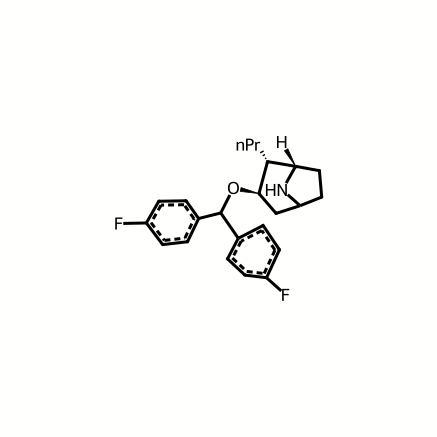 CCC[C@@H]1[C@@H]2CCC(C[C@H]1OC(c1ccc(F)cc1)c1ccc(F)cc1)N2